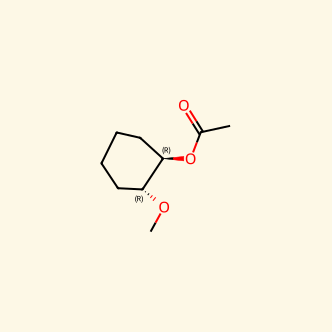 CO[C@@H]1CCCC[C@H]1OC(C)=O